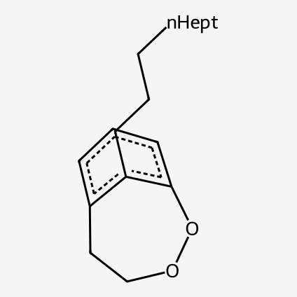 CCCCCCCCCCc1c2cccc1OOCC2